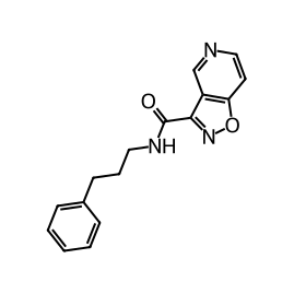 O=C(NCCCc1ccccc1)c1noc2ccncc12